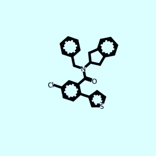 O=C(c1cc(Cl)ccc1-c1ccsc1)N(Cc1ccccc1)C1Cc2ccccc2C1